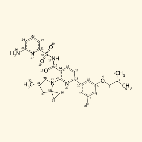 CC(C)COc1cc(F)cc(-c2ccc(C(=O)NS(=O)(=O)c3cccc(N)n3)c(N3CC(C)CC34CC4)n2)c1